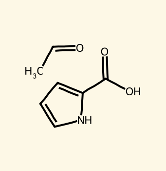 CC=O.O=C(O)c1ccc[nH]1